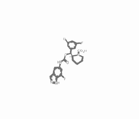 O=C(Nc1cc(F)c2[nH]ncc2c1)OC(c1cc(F)cc(Cl)c1)[C@@H]1CCCCN1C(=O)O